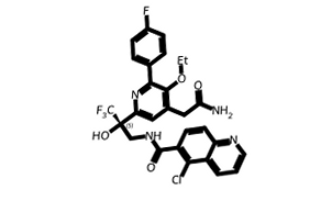 CCOc1c(CC(N)=O)cc([C@@](O)(CNC(=O)c2ccc3ncccc3c2Cl)C(F)(F)F)nc1-c1ccc(F)cc1